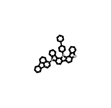 c1ccc(-c2ccc(-n3c4c(ccc5oc6ccccc6c54)c4ccc5c(c6ccccc6n5-c5ccc6c7c(cccc57)-c5ccccc5-6)c43)cc2)cc1